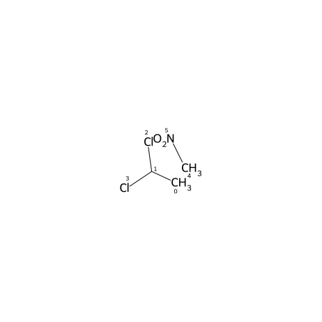 CC(Cl)Cl.C[N+](=O)[O-]